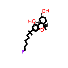 CC(C)(CCCCCCI)c1cc(O)c2c(c1)OC(C)(C)[C@@H]1CC[C@@H](CO)C[C@@H]21